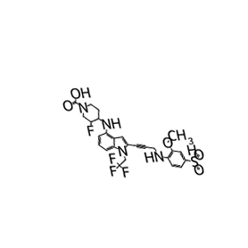 COc1cc([SH](=O)=O)ccc1NCC#Cc1cc2c(N[C@@H]3CCN(C(=O)O)C[C@@H]3F)cccc2n1CC(F)(F)F